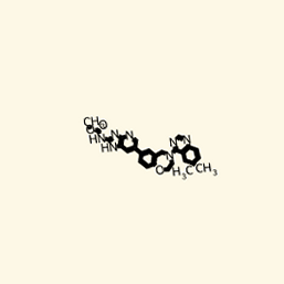 COC(=O)Nc1nc2ncc(-c3ccc4c(c3)CN(c3ncnc5c3CC(C)(C)C=C5)CCO4)cc2[nH]1